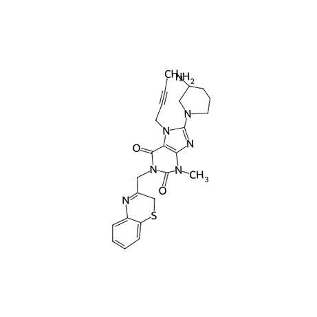 CC#CCn1c(N2CCCC(N)C2)nc2c1c(=O)n(CC1=Nc3ccccc3SC1)c(=O)n2C